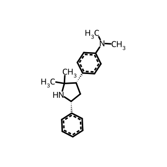 CN(C)c1ccc([C@@H]2C[C@H](c3ccccc3)NC2(C)C)cc1